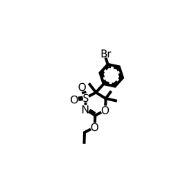 CCOC1=NS(=O)(=O)C(C)(c2cccc(Br)c2)C(C)(C)O1